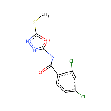 CSc1nnc(NC(=O)c2ccc(Cl)cc2Cl)o1